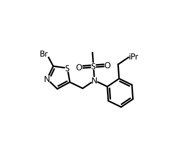 CC(C)Cc1ccccc1N(Cc1cnc(Br)s1)S(C)(=O)=O